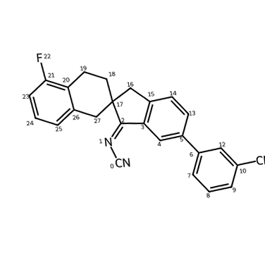 N#C/N=C1\c2cc(-c3cccc(C#N)c3)ccc2CC12CCc1c(F)cccc1C2